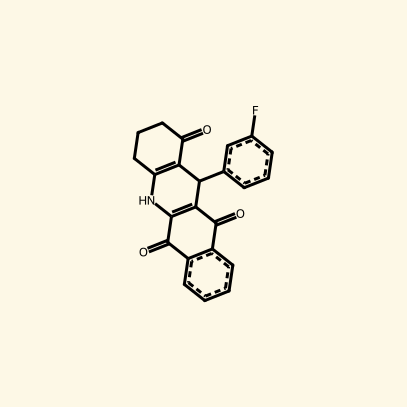 O=C1CCCC2=C1C(c1cccc(F)c1)C1=C(N2)C(=O)c2ccccc2C1=O